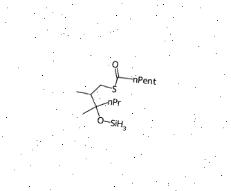 CCCCCC(=O)SCC(C)C(C)(CCC)O[SiH3]